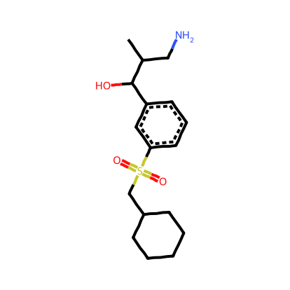 CC(CN)C(O)c1cccc(S(=O)(=O)CC2CCCCC2)c1